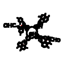 Cc1ccc(CN(Cc2ccc(C)cc2C)c2cc3c(O)c(c2)Cc2cc(N(Cc4ccc(C)cc4C)Cc4ccc(C)cc4C)cc(c2OCCCCCC=O)Cc2cc(N(Cc4ccc(C)cc4C)Cc4ccc(C)cc4C)cc(c2O)Cc2cc(N(Cc4ccc(C)cc4C)Cc4ccc(C)cc4C)cc(c2OCCCCCC=O)C3)c(C)c1